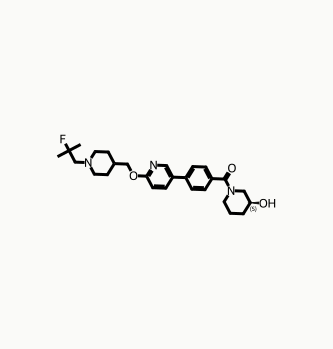 CC(C)(F)CN1CCC(COc2ccc(-c3ccc(C(=O)N4CCC[C@H](O)C4)cc3)cn2)CC1